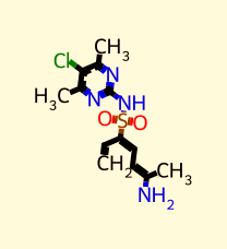 C=C/C(=C\C=C(/C)N)S(=O)(=O)Nc1nc(C)c(Cl)c(C)n1